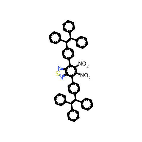 O=[N+]([O-])c1c([N+](=O)[O-])c(-c2ccc(C(=C(c3ccccc3)c3ccccc3)c3ccccc3)cc2)c2nsnc2c1-c1ccc(C(=C(c2ccccc2)c2ccccc2)c2ccccc2)cc1